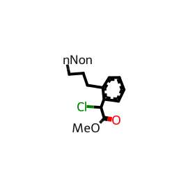 CCCCCCCCCCCCc1ccccc1C(Cl)C(=O)OC